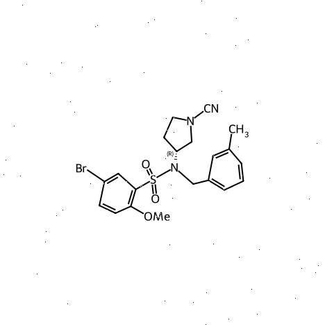 COc1ccc(Br)cc1S(=O)(=O)N(Cc1cccc(C)c1)[C@@H]1CCN(C#N)C1